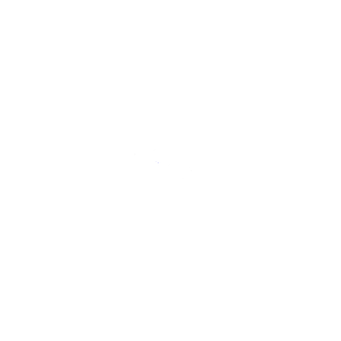 CCCCCCCCc1ccc(C(=O)Nc2ccc(CCCCC(=O)O)cc2)cc1